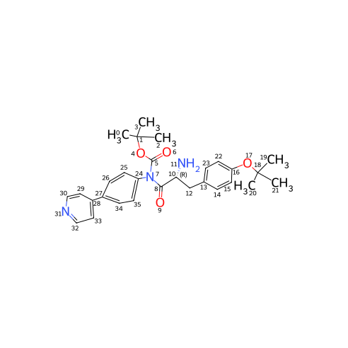 CC(C)(C)OC(=O)N(C(=O)[C@H](N)Cc1ccc(OC(C)(C)C)cc1)c1ccc(-c2ccncc2)cc1